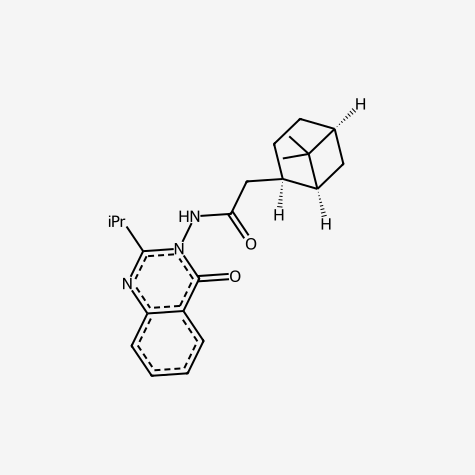 CC(C)c1nc2ccccc2c(=O)n1NC(=O)C[C@H]1CC[C@H]2C[C@@H]1C2(C)C